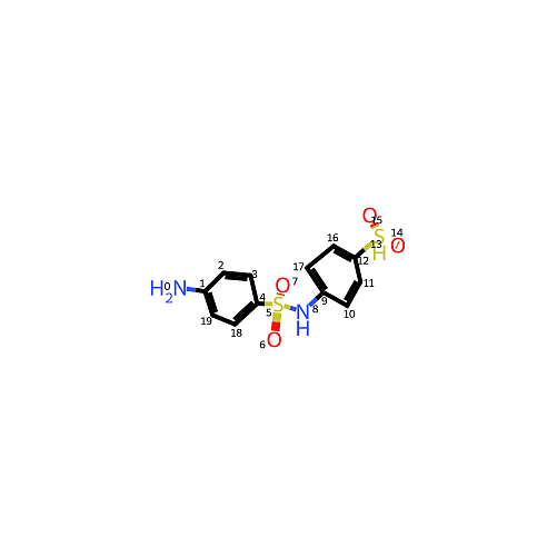 Nc1ccc(S(=O)(=O)Nc2ccc([SH](=O)=O)cc2)cc1